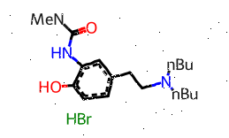 Br.CCCCN(CCCC)CCc1ccc(O)c(NC(=O)NC)c1